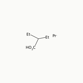 CCC(CC)C(=O)O.[Pr]